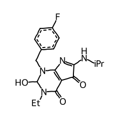 CCN1C(=O)C2=C(N=C(NC(C)C)C2=O)N(Cc2ccc(F)cc2)C1O